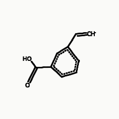 [CH]=Cc1cccc(C(=O)O)c1